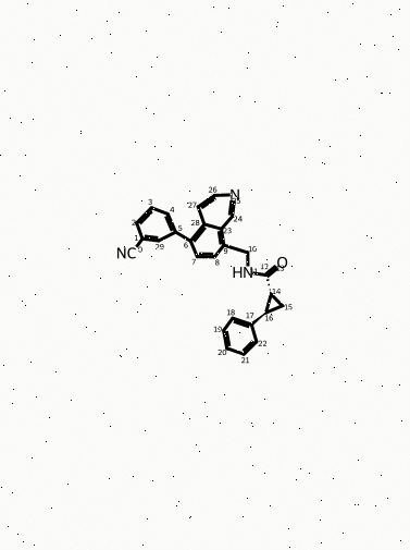 N#Cc1cccc(-c2ccc(CNC(=O)[C@@H]3C[C@H]3c3ccccc3)c3cnccc23)c1